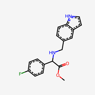 COC(=O)C(NCc1ccc2[nH]ccc2c1)c1ccc(F)cc1